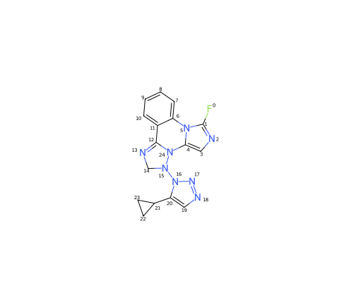 Fc1ncc2n1-c1ccccc1C1=NCN(n3nncc3C3CC3)N12